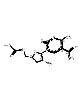 COC(=O)OC[C@@H]1C[C@@H](OC(C)=O)[C@H](n2cc(C(N)=O)c(N)nc2=O)O1